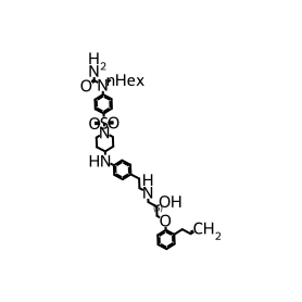 C=CCc1ccccc1OC[C@@H](O)CNCCc1ccc(NC2CCN(S(=O)(=O)c3ccc(N(CCCCCC)C(N)=O)cc3)CC2)cc1